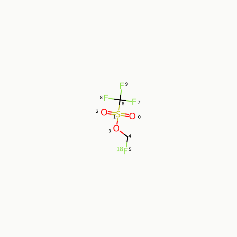 O=S(=O)(OC[18F])C(F)(F)F